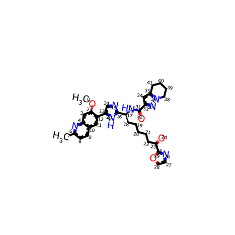 COc1cc2nc(C)ccc2cc1-c1cnc([C@H](CCCCCC(=O)c2ncco2)NC(=O)c2cc3n(n2)CCCC3)[nH]1